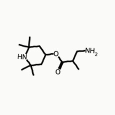 CC(CN)C(=O)OC1CC(C)(C)NC(C)(C)C1